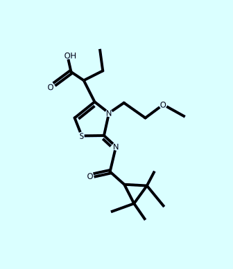 CCC(C(=O)O)c1cs/c(=N\C(=O)C2C(C)(C)C2(C)C)n1CCOC